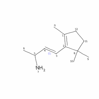 CC1=C(/C=C/C(C)N)C(C)(C)CC1